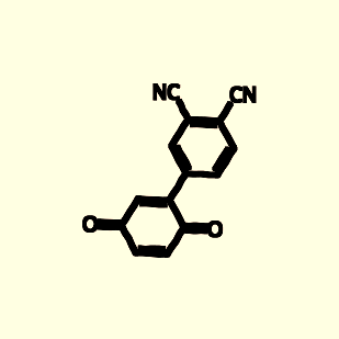 N#Cc1ccc(C2=CC(=O)C=CC2=O)cc1C#N